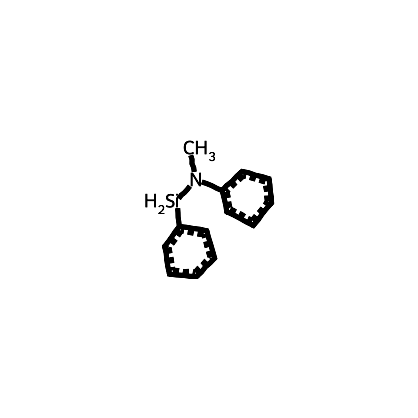 CN([SiH2]c1ccccc1)c1ccccc1